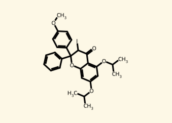 COc1ccc(C2(c3ccccc3)Oc3cc(OC(C)C)cc(OC(C)C)c3C(=O)C2I)cc1